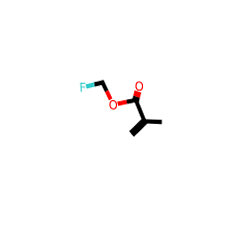 C=C(C)C(=O)OCF